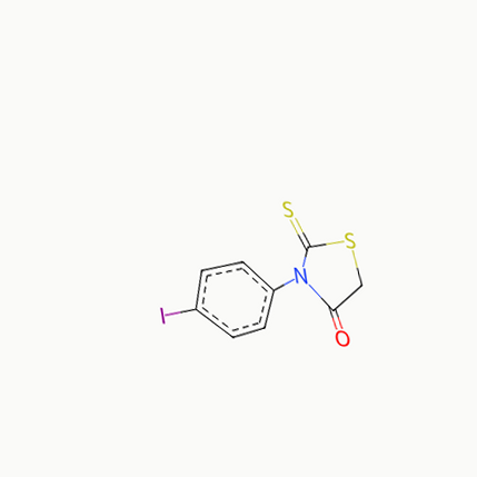 O=C1CSC(=S)N1c1ccc(I)cc1